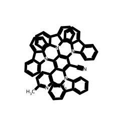 Cc1ccc(-c2c(-n3c4ccccc4c4ccccc43)c(C#N)c(-n3c4ccccc4c4ccccc43)c(-n3c4ccccc4c4ccccc43)c2-n2c3ccccc3c3ccccc32)c(C)n1